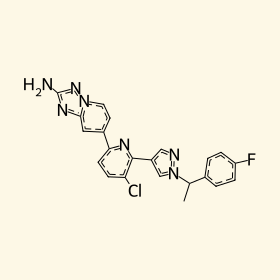 CC(c1ccc(F)cc1)n1cc(-c2nc(-c3ccn4nc(N)nc4c3)ccc2Cl)cn1